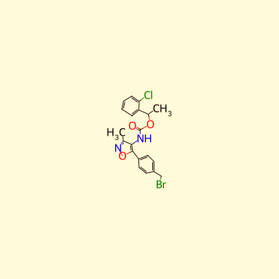 Cc1noc(-c2ccc(CBr)cc2)c1NC(=O)OC(C)c1ccccc1Cl